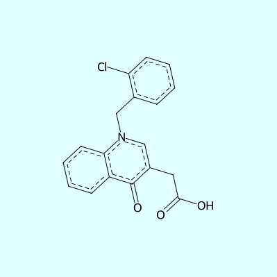 O=C(O)Cc1cn(Cc2ccccc2Cl)c2ccccc2c1=O